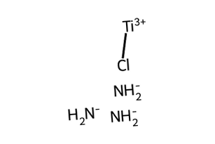 [Cl][Ti+3].[NH2-].[NH2-].[NH2-]